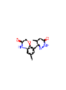 Cc1cc2c(c(C3=NNC(=O)CC3C)c1)OCC(=O)N2